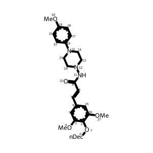 CCCCCCCCCCOc1c(OC)cc(C=CC(=O)NN2CCN(c3ccc(OC)cc3)CC2)cc1OC